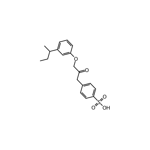 CCC(C)c1cccc(OCC(=O)Cc2ccc(S(=O)(=O)O)cc2)c1